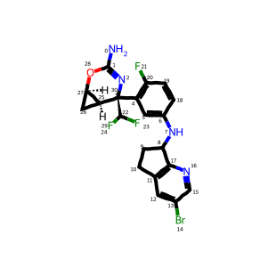 NC1=N[C@@](c2cc(NC3CCc4cc(Br)cnc43)ccc2F)(C(F)F)[C@H]2C[C@H]2O1